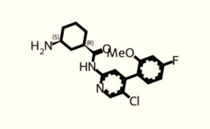 COc1cc(F)ccc1-c1cc(NC(=O)[C@@H]2CCC[C@H](N)C2)ncc1Cl